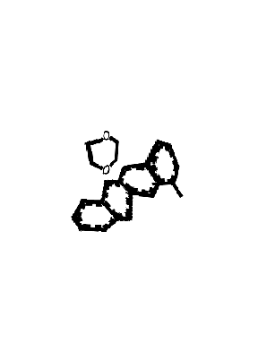 C1COCCO1.Cc1cccc2cc3cc4ccccc4cc3cc12